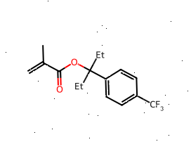 C=C(C)C(=O)OC(CC)(CC)c1ccc(C(F)(F)F)cc1